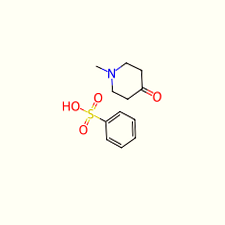 CN1CCC(=O)CC1.O=S(=O)(O)c1ccccc1